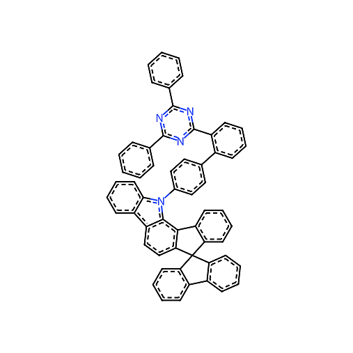 c1ccc(-c2nc(-c3ccccc3)nc(-c3ccccc3-c3ccc(-n4c5ccccc5c5ccc6c(c54)-c4ccccc4C64c5ccccc5-c5ccccc54)cc3)n2)cc1